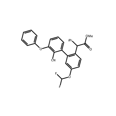 COC(=O)C(c1ccc(OC(F)F)cc1-c1cccc(Oc2ccccc2)c1C#N)C(C)C